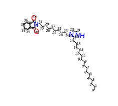 CCCCCCCCCCCCCCCCCC1NCCN1CCCCCCCCCCN1C(=O)c2ccccc2C1=O